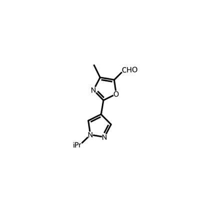 Cc1nc(-c2cnn(C(C)C)c2)oc1C=O